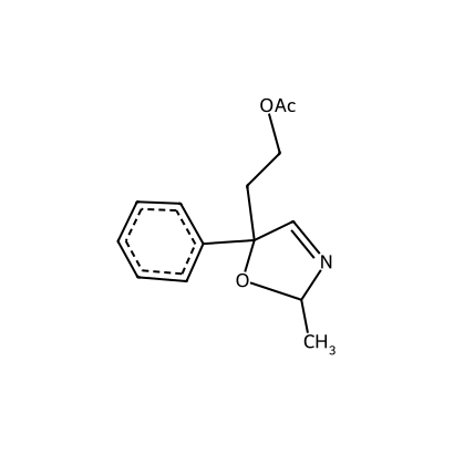 CC(=O)OCCC1(c2ccccc2)C=NC(C)O1